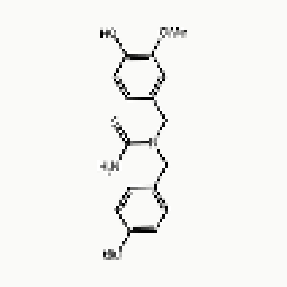 COc1cc(CN(Cc2ccc(C(C)(C)C)cc2)C(N)=S)ccc1O